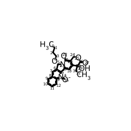 CCCCOC1c2cc3ccccc3[n+]([O-])c2-c2cc3c(c(=O)n21)COC(=O)[C@]3(O)CC